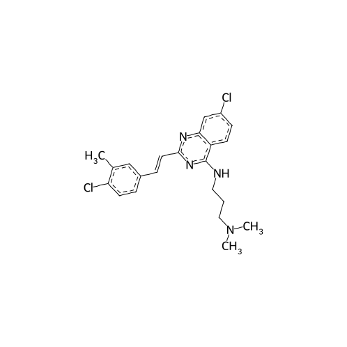 Cc1cc(/C=C/c2nc(NCCCN(C)C)c3ccc(Cl)cc3n2)ccc1Cl